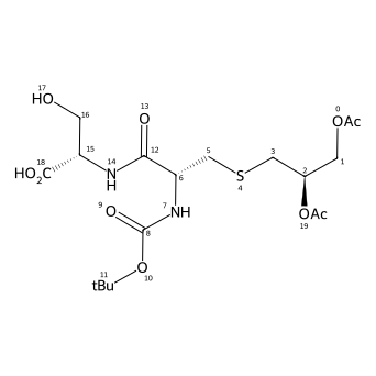 CC(=O)OC[C@H](CSC[C@H](NC(=O)OC(C)(C)C)C(=O)N[C@@H](CO)C(=O)O)OC(C)=O